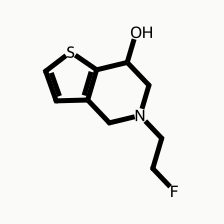 OC1CN(CCF)Cc2ccsc21